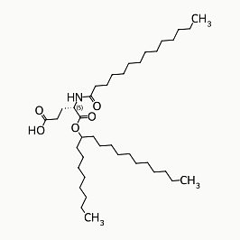 CCCCCCCCCCCCCC(=O)N[C@@H](CCC(=O)O)C(=O)OC(CCCCCCCC)CCCCCCCCCCC